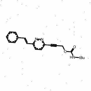 CC(C)(C)NC(=O)OCC#Cc1ccc(C=Cc2ccccc2)nn1